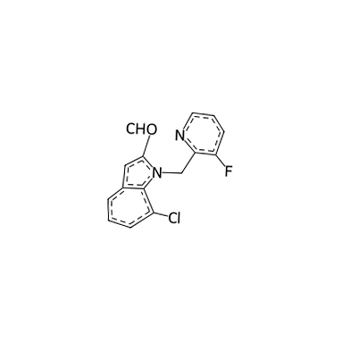 O=Cc1cc2cccc(Cl)c2n1Cc1ncccc1F